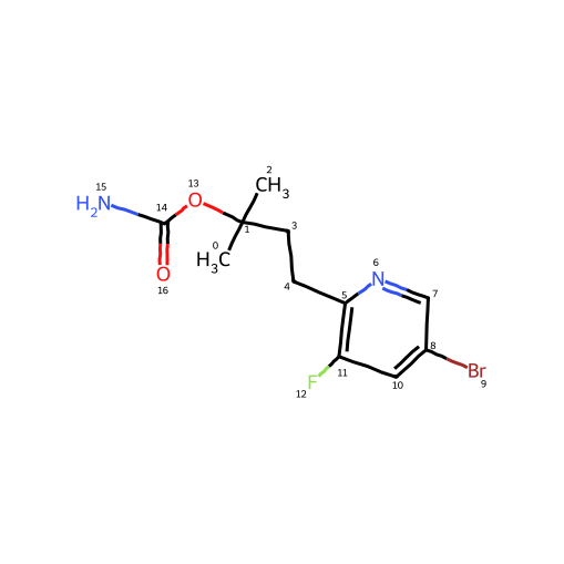 CC(C)(CCc1ncc(Br)cc1F)OC(N)=O